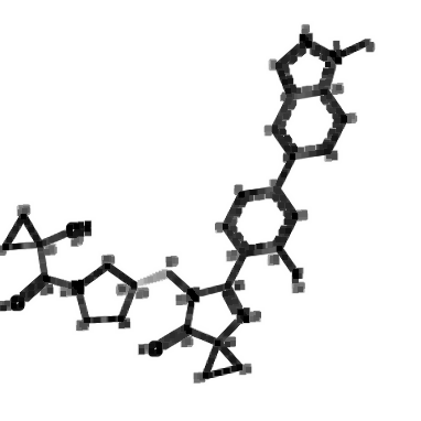 Cn1ncc2cc(-c3ccc(C4=NC5(CC5)C(=O)N4C[C@@H]4CCN(C(=O)C5(O)CC5)C4)c(F)c3)ccc21